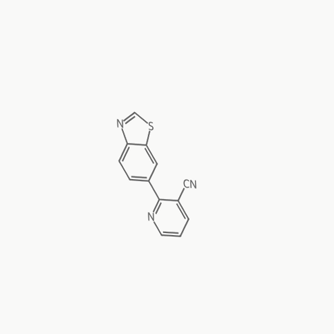 N#Cc1cccnc1-c1ccc2ncsc2c1